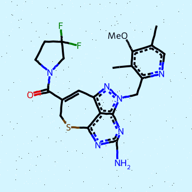 COc1c(C)cnc(Cn2nc3c4c(nc(N)nc42)SCC(C(=O)N2CCC(F)(F)C2)=C3)c1C